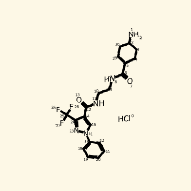 Cl.NC1CCC(C(=O)NCCNC(=O)c2cn(-c3ccccc3)nc2C(F)(F)F)CC1